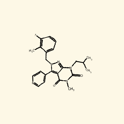 Cc1c(F)cccc1Cn1nc2c(c1-c1ccncc1)c(=O)n(C)c(=O)n2CC(C)C